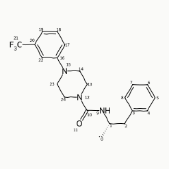 [CH2][C@@H](Cc1ccccc1)NC(=O)N1CCN(c2cccc(C(F)(F)F)c2)CC1